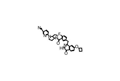 N#Cc1ccc(N2CCC3C2CCN3C(=O)c2cc(Cc3n[nH]c(=O)c4ccc(OC5CCC5)cc34)ccc2F)nc1